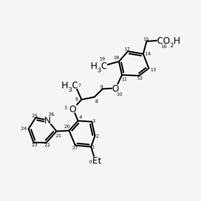 CCc1ccc(OC(C)CCOc2ccc(CC(=O)O)cc2C)c(-c2ccccn2)c1